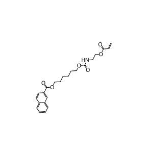 C=CC(=O)OCCNC(=O)OCCCCCCOC(=O)c1ccc2ccccc2c1